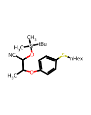 CCCCCCSc1ccc(OC(C)C(C#N)O[Si](C)(C)C(C)(C)C)cc1